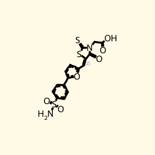 NS(=O)(=O)c1ccc(-c2ccc(/C=C3\SC(=S)N(CC(=O)O)C3=O)o2)cc1